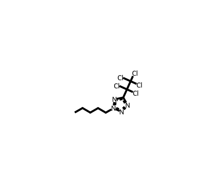 CCCCCn1nnc(C(Cl)(Cl)C(Cl)(Cl)Cl)n1